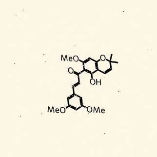 COc1cc(/C=C/C(=O)c2c(OC)cc3c(c2O)C=CC(C)(C)O3)cc(OC)c1